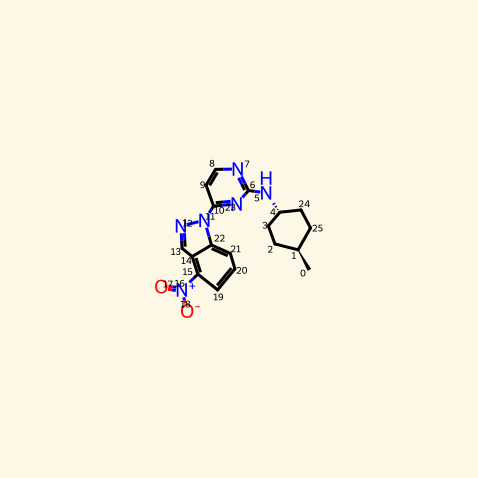 C[C@H]1CC[C@H](Nc2nccc(-n3ncc4c([N+](=O)[O-])cccc43)n2)CC1